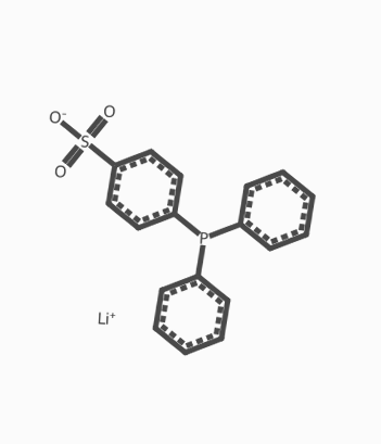 O=S(=O)([O-])c1ccc(P(c2ccccc2)c2ccccc2)cc1.[Li+]